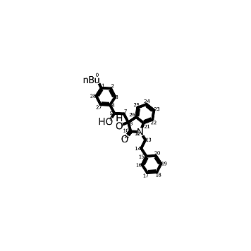 CCCCc1ccc(C(O)CC2(O)C(=O)N(CCc3ccccc3)c3ccccc32)cc1